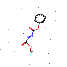 CCCOC(=O)N=NC(=O)Oc1ccccc1